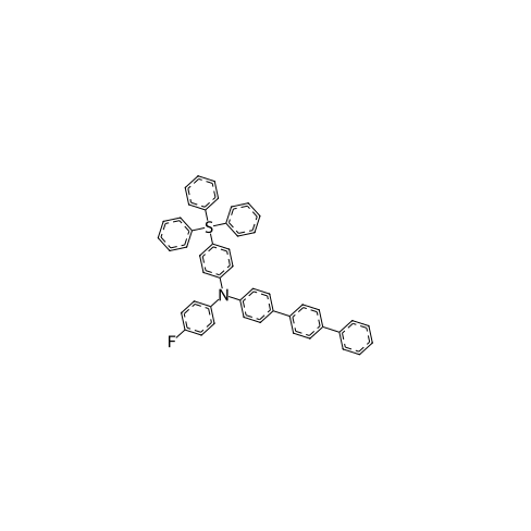 Fc1ccc(N(c2ccc(-c3ccc(-c4ccccc4)cc3)cc2)c2ccc(S(c3ccccc3)(c3ccccc3)c3ccccc3)cc2)cc1